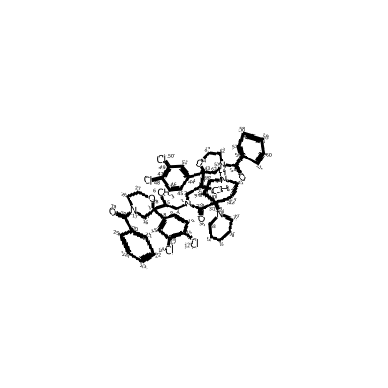 CC(CN(CC(C)C1(c2ccc(Cl)c(Cl)c2)CN(C(=O)c2ccccc2)CCO1)C(=O)C1(N2CCCCC2)CCNCC1)C1(c2ccc(Cl)c(Cl)c2)CN(C(=O)c2ccccc2)CCO1